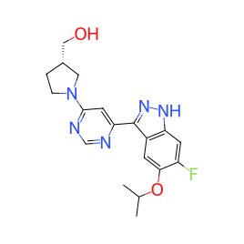 CC(C)Oc1cc2c(-c3cc(N4CC[C@H](CO)C4)ncn3)n[nH]c2cc1F